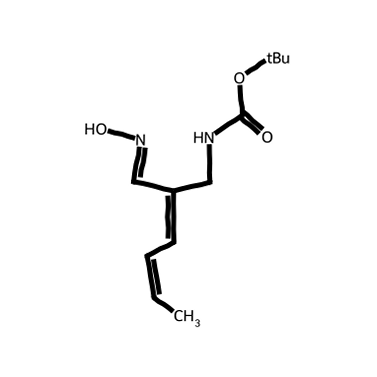 C\C=C/C=C(\C=N\O)CNC(=O)OC(C)(C)C